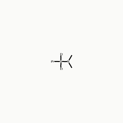 CC[Si](CC)(C(C)C)N(C)C